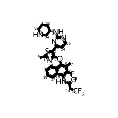 Cc1nc(Oc2c(C)c(F)c(NC(=O)CC(F)(F)F)c3ccccc23)c(-c2ccnc(N[C@H]3CCCNC3)n2)s1